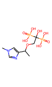 CC(OCC(O)(P(=O)(O)O)P(=O)(O)O)c1cn(C)cn1